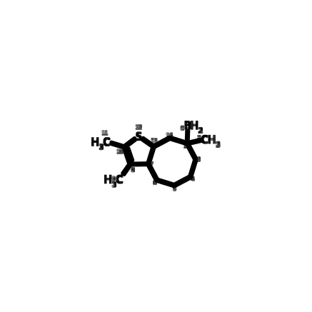 BC1(C)CCCCC2C(C)=C(C)SC2C1